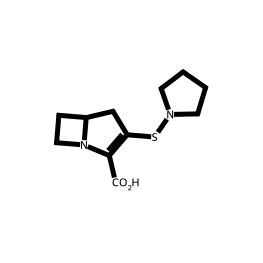 O=C(O)C1=C(SN2CCCC2)CC2CCN12